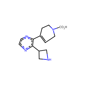 O=C(O)N1CC=C(c2nccnc2C2CNC2)CC1